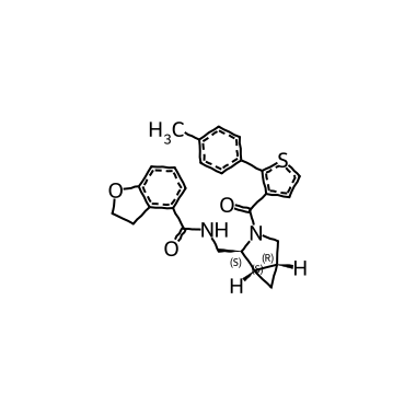 Cc1ccc(-c2sccc2C(=O)N2C[C@@H]3C[C@@H]3[C@H]2CNC(=O)c2cccc3c2CCO3)cc1